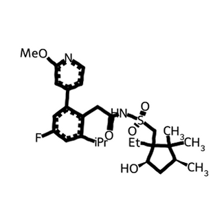 CCC1(CS(=O)(=O)NC(=O)Cc2c(-c3ccnc(OC)c3)cc(F)cc2C(C)C)[C@H](O)C[C@H](C)C1(C)C